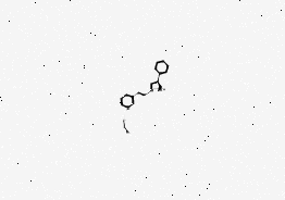 C(=Cc1cc(-c2ccccc2)no1)c1cccc(OCC2CO2)c1